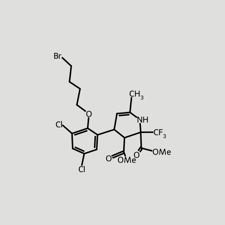 COC(=O)C1C(c2cc(Cl)cc(Cl)c2OCCCCBr)C=C(C)NC1(C(=O)OC)C(F)(F)F